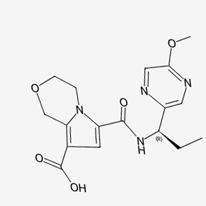 CC[C@@H](NC(=O)c1cc(C(=O)O)c2n1CCOC2)c1cnc(OC)cn1